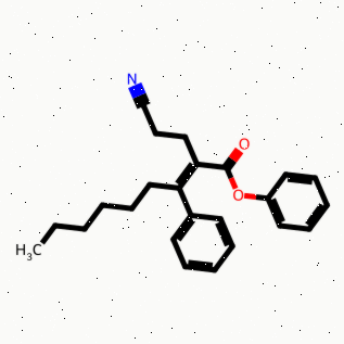 CCCCCCC(=C(CCC#N)C(=O)Oc1ccccc1)c1ccccc1